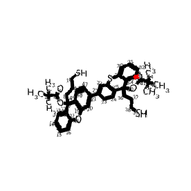 CC(C)(C)C(=O)OC1(CCCS)c2ccccc2Oc2cc(-c3ccc4c(c3)Sc3ccccc3C4(CCCS)OC(=O)C(C)(C)C)ccc21